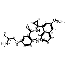 COc1cc(C2(NC(=O)c3cc(OCC(C)N)ccc3C)CC2)c2ccccc2c1